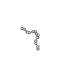 c1ccc2cc(-c3ccc4ccc(-c5ccc6oc7cc8oc9ccc(-c%10ccc%11ccc(-c%12ccc%13ccccc%13c%12)cc%11c%10)cc9c8cc7c6c5)cc4c3)ccc2c1